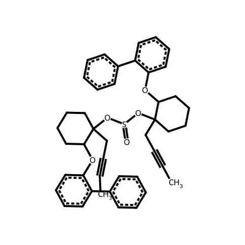 CC#CCC1(OS(=O)OC2(CC#CC)CCCCC2Oc2ccccc2-c2ccccc2)CCCCC1Oc1ccccc1-c1ccccc1